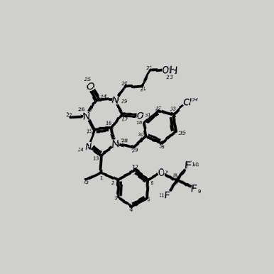 CC(c1cccc(OC(F)(F)F)c1)c1nc2c(c(=O)n(CCCO)c(=O)n2C)n1Cc1ccc(Cl)cc1